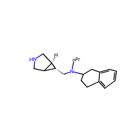 CCCN(C[C@@H]1C2CNC[C@H]21)C1CCc2ccccc2C1